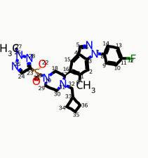 Cc1cc2c(cnn2-c2ccc(F)cc2)cc1[C@@H]1CN(S(=O)(=O)c2cnn(C)n2)CCN1CC1CCC1